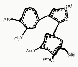 COc1ccc(-c2cnsc2-c2cc(OC)c(OC)c(OC)c2)cc1N.Cl